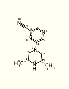 C[C@@H]1CN(c2cncc(C#N)n2)C[C@H](C)N1